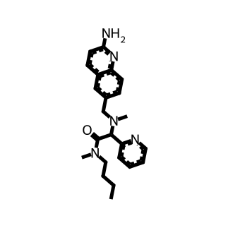 CCCCN(C)C(=O)C(c1ccccn1)N(C)Cc1ccc2nc(N)ccc2c1